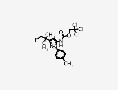 Cc1ccc(-n2nc(C(C)(C)CF)cc2NC(=O)OCC(Cl)(Cl)Cl)cc1